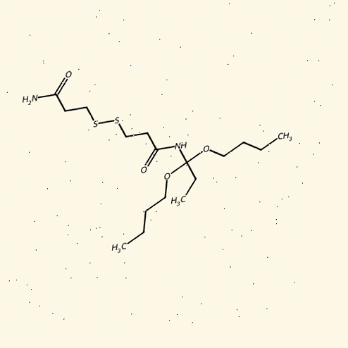 CCCCOC(CC)(NC(=O)CCSSCCC(N)=O)OCCCC